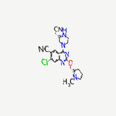 CN1CCC[C@H]1COc1nc(N2CCN[C@@H](CC#N)C2)c2cc(C#N)c(Cl)cc2n1